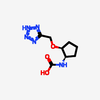 O=C(O)N[C@H]1CCC[C@@H]1OCc1nn[nH]n1